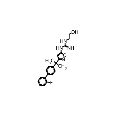 CC(C)(c1ccc(-c2ccccc2F)cc1)c1cc(NC(=N)NCCO)on1